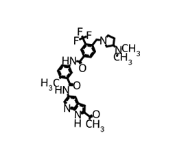 CC(=O)c1cc2cc(NC(=O)c3cc(NC(=O)c4ccc(CN5CCC(N(C)C)C5)c(C(F)(F)F)c4)ccc3C)cnc2[nH]1